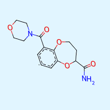 NC(=O)C1CCOc2c(c[c]cc2C(=O)N2CCOCC2)O1